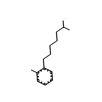 CC(C)CCCCCc1ccccc1O.O